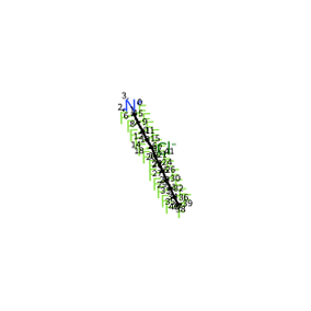 C[N+](C)(C)C(F)(F)C(F)(F)C(F)(F)C(F)(F)C(F)(F)C(F)(F)C(F)(F)C(F)(F)C(F)(F)C(F)(F)C(F)(F)C(F)(F)F.[Cl-]